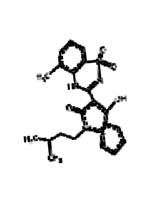 Cc1cccc2c1NC(c1c(O)c3ccccc3n(CCC(C)C)c1=O)=NS2(=O)=O